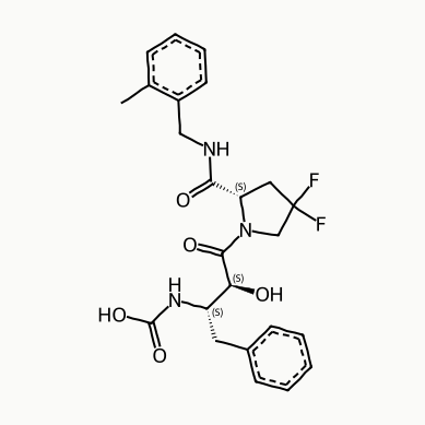 Cc1ccccc1CNC(=O)[C@@H]1CC(F)(F)CN1C(=O)[C@@H](O)[C@H](Cc1ccccc1)NC(=O)O